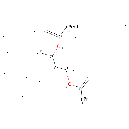 C=C(CCC)OCCC(C)OC(=C)CCCCC